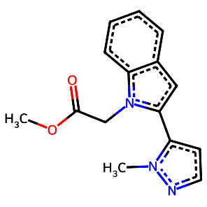 COC(=O)Cn1c(-c2ccnn2C)cc2ccccc21